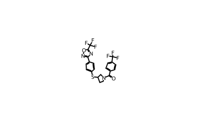 O=C(c1ccc(C(F)(F)F)cc1)N1CCC(Sc2ccc(-c3noc(C(F)(F)F)n3)cc2)C1